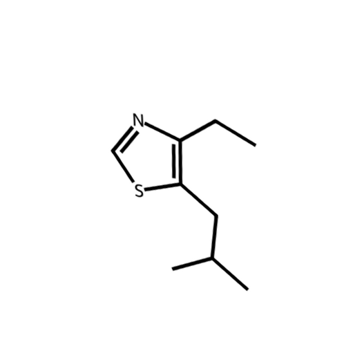 CCc1ncsc1CC(C)C